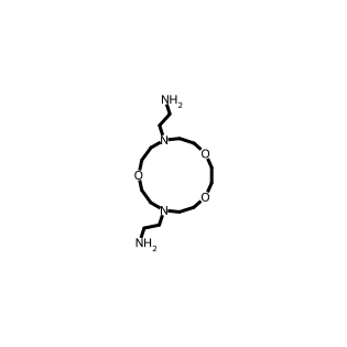 NCCN1CCOCCOCCN(CCN)CCOCC1